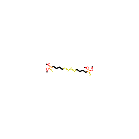 COP(=S)(CCCCSSSSCCCCP(=S)(OC)OC)OC